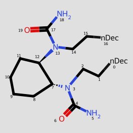 CCCCCCCCCCCCN(C(N)=O)[C@@H]1CCCC[C@H]1N(CCCCCCCCCCCC)C(N)=O